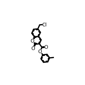 Cc1cccc(OC(=O)c2cc3cc(CCl)ccc3oc2=O)c1